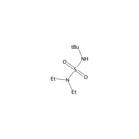 CCN(CC)S(=O)(=O)NC(C)(C)C